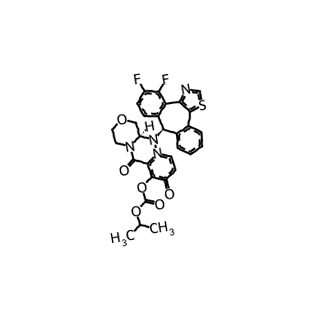 CC(C)OC(=O)Oc1c2n(ccc1=O)N([C@@H]1c3ccccc3-c3scnc3-c3c1ccc(F)c3F)[C@@H]1COCCN1C2=O